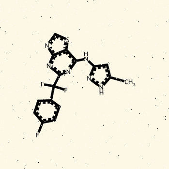 Cc1cc(Nc2nc(C(F)(F)c3ccc(F)cc3)nc3ncsc23)n[nH]1